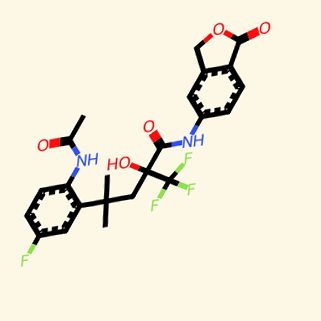 CC(=O)Nc1ccc(F)cc1C(C)(C)CC(O)(C(=O)Nc1ccc2c(c1)COC2=O)C(F)(F)F